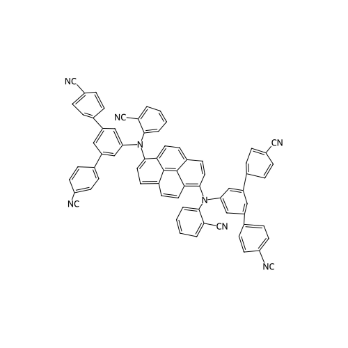 [C-]#[N+]c1ccc(-c2cc(-c3ccc(C#N)cc3)cc(N(c3ccccc3C#N)c3ccc4ccc5c(N(c6cc(-c7ccc(C#N)cc7)cc(-c7ccc([N+]#[C-])cc7)c6)c6ccccc6C#N)ccc6ccc3c4c65)c2)cc1